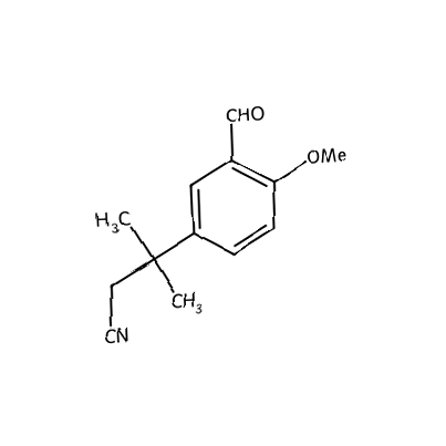 COc1ccc(C(C)(C)CC#N)cc1C=O